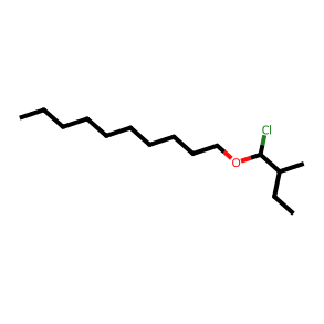 CCCCCCCCCCOC(Cl)C(C)CC